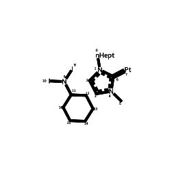 CCCCCCCn1ccn(C)[c]1=[Pt].IN(I)C1CCCCC1